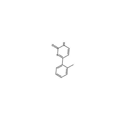 Cc1ccccc1-c1cc[nH]c(=O)n1